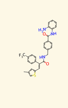 Cc1csc(C=C(C(=O)NCc2ccc(C(=O)Nc3ccccc3N)cc2)c2ccc(C(F)(F)F)cc2)c1